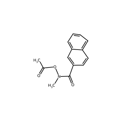 CC(=O)ON(C)C(=O)c1ccc2ccccc2c1